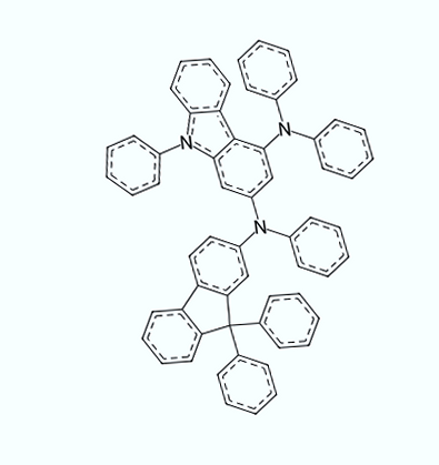 c1ccc(N(c2ccc3c(c2)C(c2ccccc2)(c2ccccc2)c2ccccc2-3)c2cc(N(c3ccccc3)c3ccccc3)c3c4ccccc4n(-c4ccccc4)c3c2)cc1